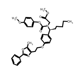 CCCCC[C@@H](c1ccc(OCCc2nc(-c3ccccc3)oc2C)cc1)N(CC(=O)OC)C(=O)Oc1ccc(OC)cc1